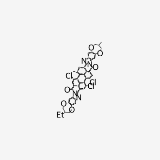 CCC1COc2cc3nc4c5cc(Cl)c6c7c(Cl)cc8c(=O)n9c%10cc%11c(cc%10nc9c9cc(C)c(c%10c(Cl)cc(c(=O)n4c3cc2OC1)c5c%106)c7c89)OCC(C)CO%11